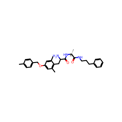 Cc1ccc(COc2cc(C)c(CC(N)C(=O)N[C@H](C)C(=O)NCCCc3ccccc3)c(C)c2)cc1